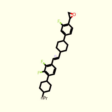 CCCC1CCC(c2ccc(/C=C/C3CCC(c4ccc(C5CO5)c(F)c4)CC3)c(F)c2F)CC1